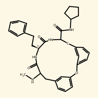 CNC1Cc2cccc(c2)Oc2cccc(c2)CC(C(=O)NC2CCCC2)NC(=O)[C@H](CCc2ccccc2)NC1=O